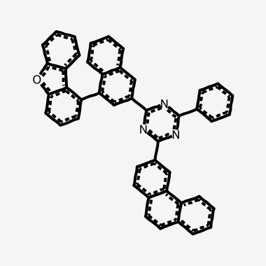 c1ccc(-c2nc(-c3cc(-c4cccc5oc6ccccc6c45)c4ccccc4c3)nc(-c3ccc4ccc5ccccc5c4c3)n2)cc1